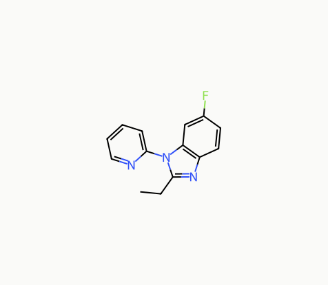 CCc1nc2ccc(F)cc2n1-c1ccccn1